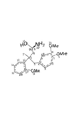 COc1ccc(CC(C)(C[C@H](N)O)c2ccccc2OC)cc1OC